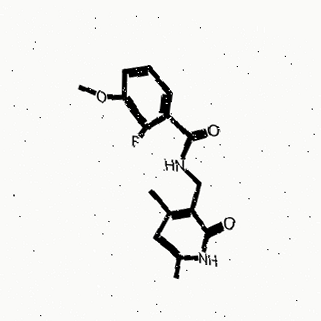 COc1cccc(C(=O)NCc2c(C)cc(C)[nH]c2=O)c1F